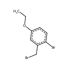 CCOc1ccc(Br)c(CBr)c1